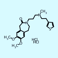 COc1cc2c(cc1OC)CC(=O)N(CCCN(C)CCc1ccsc1)CC2.Cl.Cl